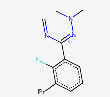 C=N/C(=N\N(C)C)c1cccc(C(C)C)c1F